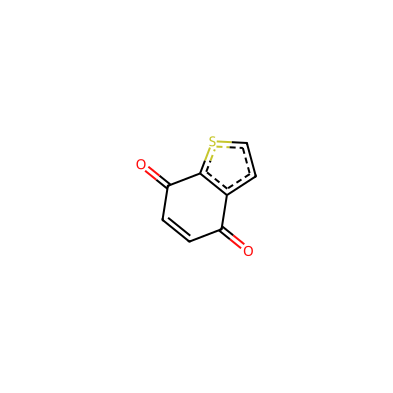 O=C1C=CC(=O)c2sccc21